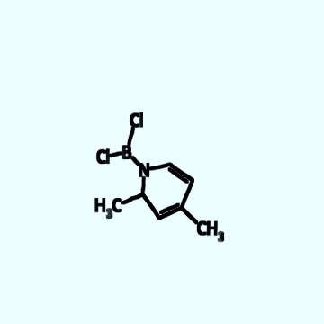 CC1=CC(C)N(B(Cl)Cl)C=C1